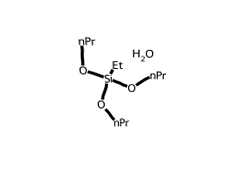 CCCO[Si](CC)(OCCC)OCCC.O